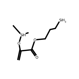 C=C(O[SiH](C)C)C(=O)OCCC[SiH3]